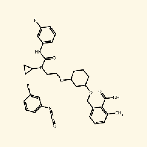 Cc1cccc(COC2CCCC(OCCN(C(=O)Nc3cccc(F)c3)C3CC3)C2)c1C(=O)O.O=C=Nc1cccc(F)c1